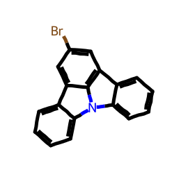 Brc1cc2c3ccccc3n3c4ccccc4c(c1)c23